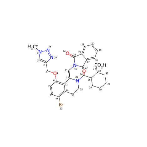 Cn1cc(COc2ccc(Br)c3c2[C@@H](CN2Cc4ccccc4C2=O)N(C(=O)C2CCCCC2C(=O)O)CC3)nn1